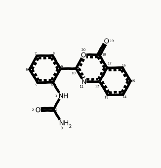 NC(=O)Nc1ccccc1-c1nc2ccccc2c(=O)o1